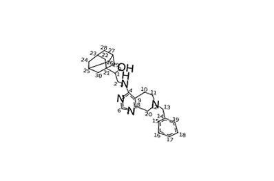 OC(CNc1ncnc2c1CCN(Cc1ccccc1)C2)C12CC3CC(CC(C3)C1)C2